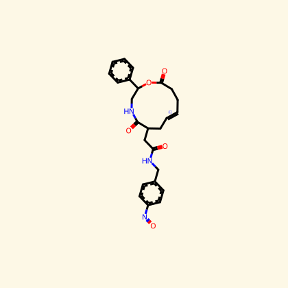 O=Nc1ccc(CNC(=O)CC2C/C=C/CCC(=O)OC(c3ccccc3)CNC2=O)cc1